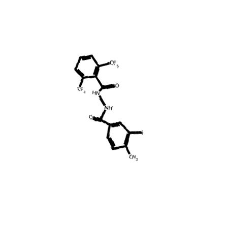 Cc1ccc(C(=O)NNC(=O)c2c(C(F)(F)F)cccc2C(F)(F)F)cc1I